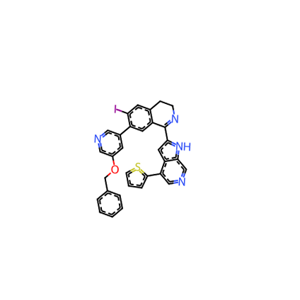 Ic1cc2c(cc1-c1cncc(OCc3ccccc3)c1)C(c1cc3c(-c4cccs4)cncc3[nH]1)=NCC2